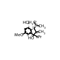 COc1cccc(C(O)(C(C)C)C(C)CN(C)C)c1.Cl